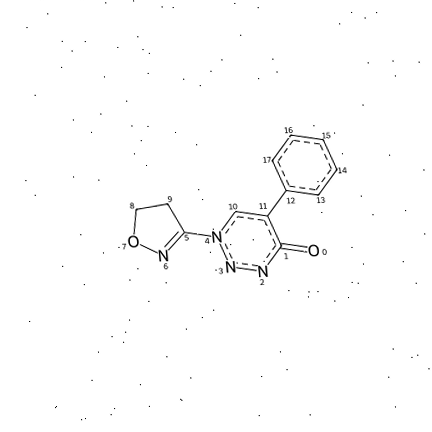 O=c1nnn(C2=NOCC2)cc1-c1ccccc1